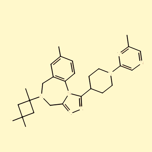 Cc1cncc(N2CCC(c3nnc4n3-c3ccc(Cl)cc3CN(C3(C)CC(F)(F)C3)C4)CC2)n1